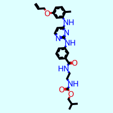 C=CCOc1ccc(C)c(Nc2ccnc(Nc3cccc(C(=O)NCCNC(=O)OCC(C)C)c3)n2)c1